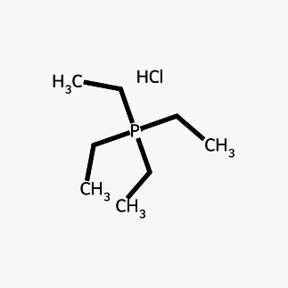 CC[P](CC)(CC)CC.Cl